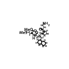 COC(=O)[C@H](CCSC)NC(=O)CN(Cc1cccc2ccccc12)C[C@@H]1CCCN1C(=O)CCN